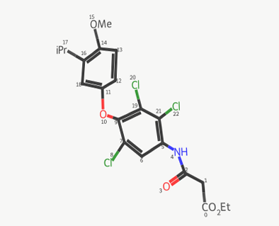 CCOC(=O)CC(=O)Nc1cc(Cl)c(Oc2ccc(OC)c(C(C)C)c2)c(Cl)c1Cl